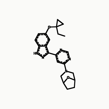 CCC1(Oc2ccc3[nH]nc(-c4cc(N5CC6CCC(C5)O6)ncn4)c3c2)CC1